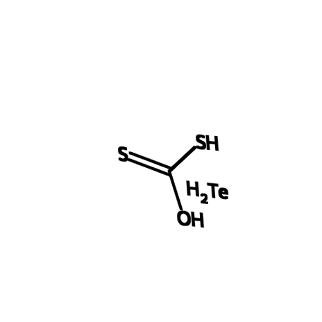 OC(=S)S.[TeH2]